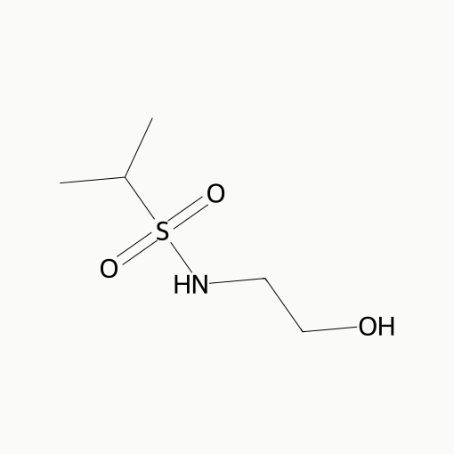 CC(C)S(=O)(=O)NCCO